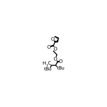 CC(C(C(=O)OCCOC(=O)c1ccco1)C(C)(C)C)C(C)(C)C